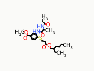 CCCCC(CC)COC(=O)CCSc1ccc(C(=O)OC)cc1NC(=O)[C@H](C)NC(C)=O